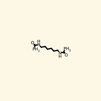 O=C(P)NCCCCCCNC(=O)P